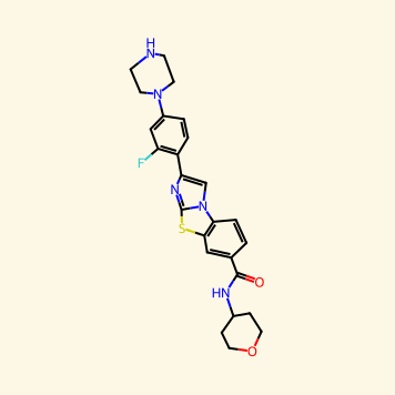 O=C(NC1CCOCC1)c1ccc2c(c1)sc1nc(-c3ccc(N4CCNCC4)cc3F)cn12